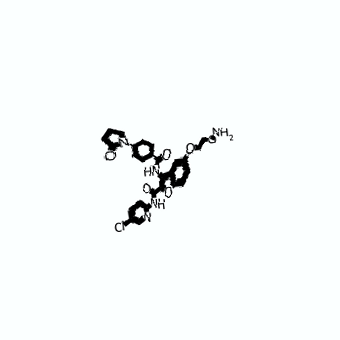 NOCCOc1ccc2oc(C(=O)Nc3ccc(Cl)cn3)c(NC(=O)[C@H]3CC[C@H](N4CCCC4=O)CC3)c2c1